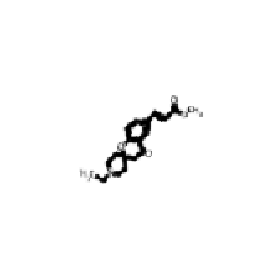 CCN1CCC2(CC1)CC(=O)c1cc(C=CC(=O)OC)ccc1O2